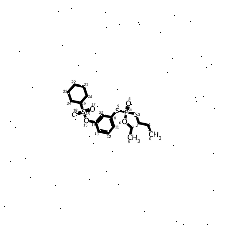 CCCSP(=O)(OCC)Sc1cccc(OS(=O)(=O)C2CCCCC2)c1